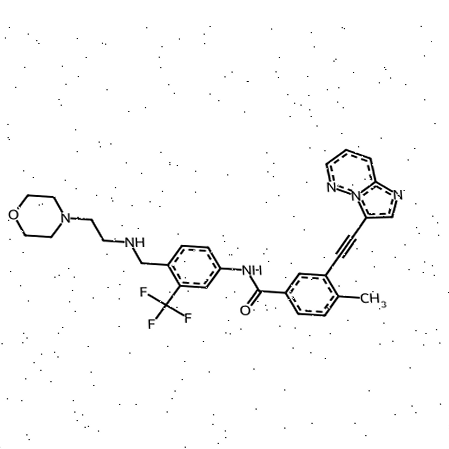 Cc1ccc(C(=O)Nc2ccc(CNCCN3CCOCC3)c(C(F)(F)F)c2)cc1C#Cc1cnc2cccnn12